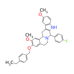 CCc1ccc(COc2cc3c(cc2OC)C2Cc4c([nH]c5ccc(OC)cc45)C(c4ccc(F)cc4)N2CC3)cc1